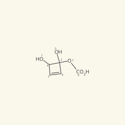 O=C(O)OC1(O)C=CC1O